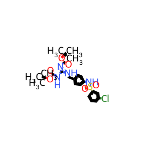 CC(C)(C)OC(=O)/N=C(\NCc1ccc(NS(=O)(=O)c2cccc(Cl)c2)cc1)NC(=O)OC(C)(C)C